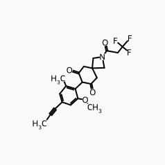 CC#Cc1cc(C)c(C2C(=O)CC3(CC2=O)CN(C(=O)CC(F)(F)F)C3)c(OC)c1